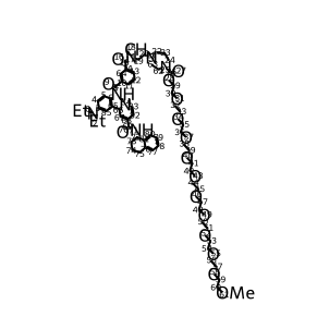 CCN(CC)c1ccc(NC(=O)c2cccc(C(=O)N(C)CCN3CCCN(C(=O)OCCOCCOCCOCCOCCOCCOCCOCCOCCOCCOCCOC)CC3)c2)c(-c2cc(C(=O)N[C@H]3CCCc4ccccc43)ccn2)c1